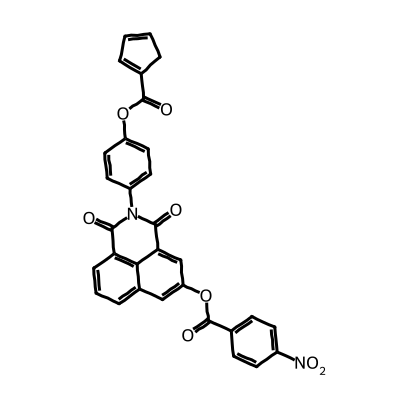 O=C(Oc1ccc(N2C(=O)c3cccc4cc(OC(=O)c5ccc([N+](=O)[O-])cc5)cc(c34)C2=O)cc1)C1=CC=CC1